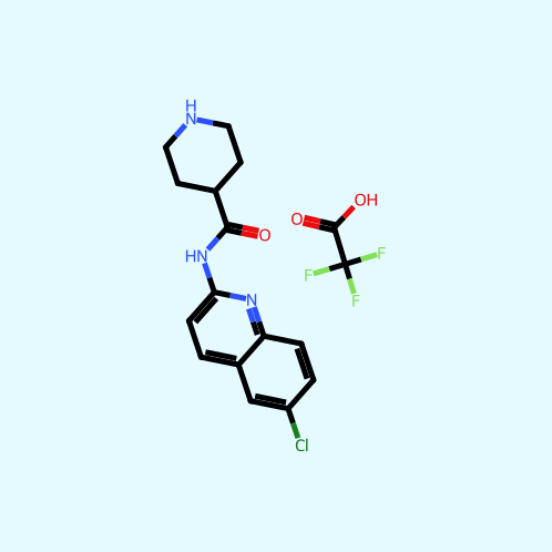 O=C(Nc1ccc2cc(Cl)ccc2n1)C1CCNCC1.O=C(O)C(F)(F)F